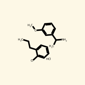 CCCc1ccccc1Cl.COc1cccc(C(C)N)c1.Cl